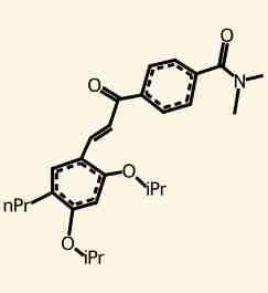 CCCc1cc(C=CC(=O)c2ccc(C(=O)N(C)C)cc2)c(OC(C)C)cc1OC(C)C